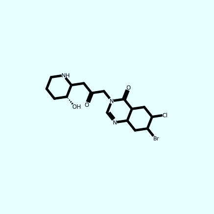 O=C(CC1NCCC[C@H]1O)CN1C=NC2CC(Br)C(Cl)CC2C1=O